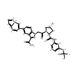 CC(=O)c1nn(CC(=O)N2C[C@H](F)C[C@H]2C(=O)Nc2cncc(OC(F)(F)F)n2)c2ccc(-c3cnc4ccnn4c3)cc12